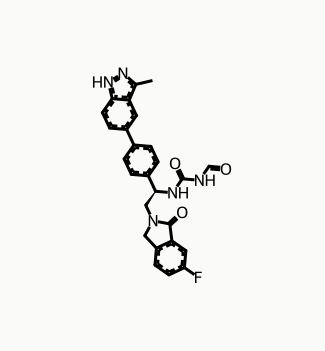 Cc1n[nH]c2ccc(-c3ccc([C@H](CN4Cc5ccc(F)cc5C4=O)NC(=O)NC=O)cc3)cc12